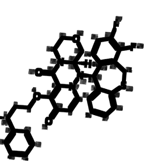 C[C@H](CCOc1c2n(ccc1=O)N([C@@H]1c3ccccc3SCc3c1ccc(F)c3F)[C@@H]1COCCN1C2=O)c1ccccc1